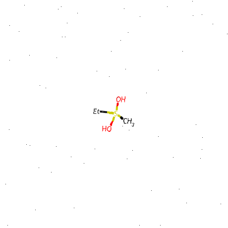 CCS(C)(O)O